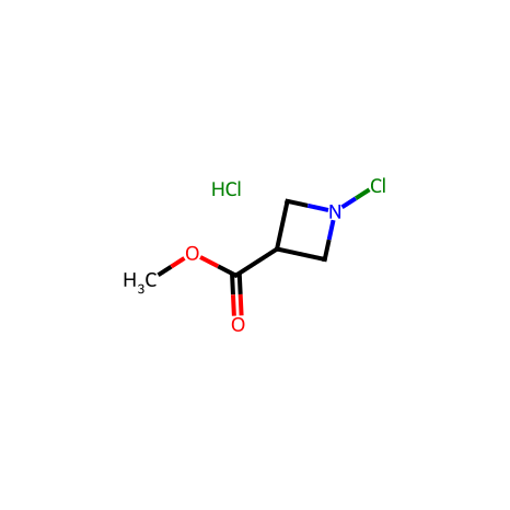 COC(=O)C1CN(Cl)C1.Cl